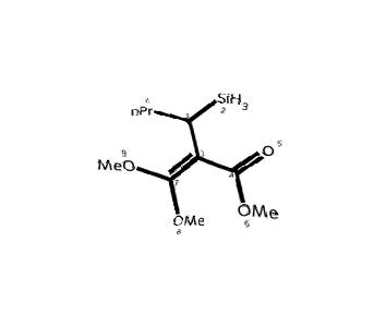 CCCC([SiH3])C(C(=O)OC)=C(OC)OC